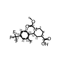 COC(=O)N1CCC(C(=O)O)CC1c1ccc(C(F)(F)F)cc1F